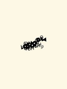 C[C@@H]1C[C@H](CI)O[C@H]2[C@H]1[C@@]1(C)CC[C@@]34CC35CCC(O[C@H]3CN(C(=O)CC6CC6)CCO3)C(C)(C)[C@@H]5CC[C@H]4[C@]1(C)[C@H]2O